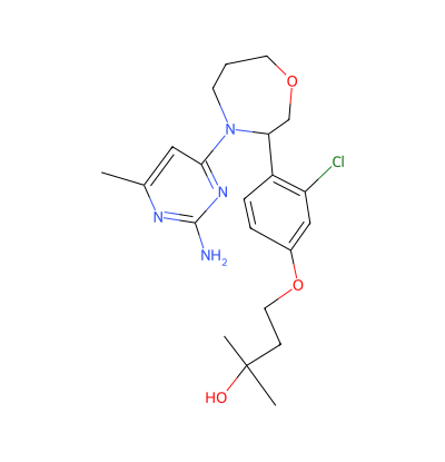 Cc1cc(N2CCCOCC2c2ccc(OCCC(C)(C)O)cc2Cl)nc(N)n1